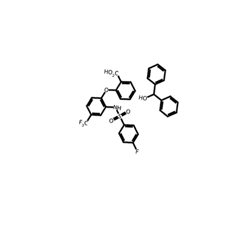 O=C(O)c1ccccc1Oc1ccc(C(F)(F)F)cc1NS(=O)(=O)c1ccc(F)cc1.OC(c1ccccc1)c1ccccc1